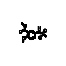 COC(=O)c1cc(NS(C)(=O)=O)ccc1OC